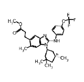 COC(=O)CCc1cc2nc(Nc3ccc(OC(F)(F)F)cc3)n(C3C[C@H](C)CC(C)(C)C3)c2cc1C